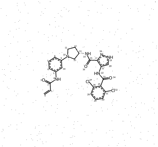 C=CC(=O)Nc1cccc(N2CC[C@H](NC(=O)c3n[nH]cc3NC(=O)c3c(Cl)cccc3Cl)C2)c1